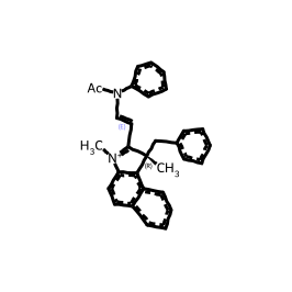 CC(=O)N(/C=C/C1=[N+](C)c2ccc3ccccc3c2[C@@]1(C)Cc1ccccc1)c1ccccc1